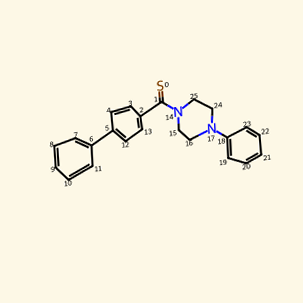 S=C(c1ccc(-c2ccccc2)cc1)N1CCN(c2ccccc2)CC1